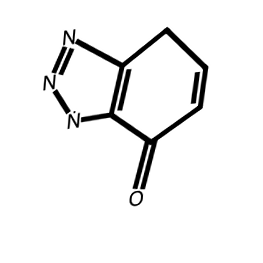 O=C1C=CCC2=C1[N]N=N2